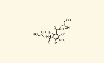 Nc1c(Br)c(C(=O)NCC(O)CO)c(Br)c(C(=O)NCC(O)CO)c1Br